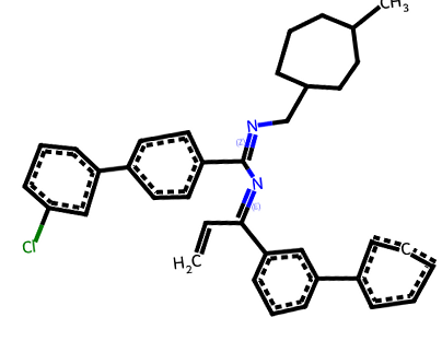 C=C/C(=N\C(=N/CC1CCCC(C)CC1)c1ccc(-c2cccc(Cl)c2)cc1)c1cccc(-c2ccccc2)c1